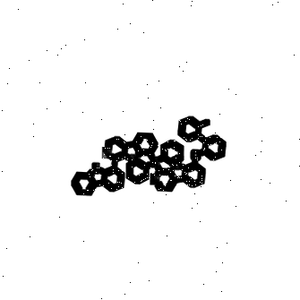 Cc1ccccc1-c1ccccc1Oc1cccc2c1oc1c([Si](c3ccccc3)(c3ccccc3)c3cccc4c3oc3c(-c5cccc6c5sc5ccccc56)nccc34)nccc12